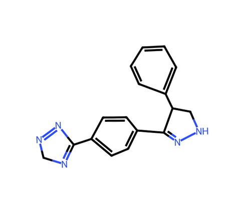 c1ccc(C2CNN=C2c2ccc(C3=NCN=N3)cc2)cc1